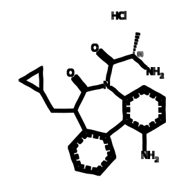 C[C@H](N)C(=O)N1C(=O)C(CC2CC2)c2ccccc2-c2c(N)cccc21.Cl